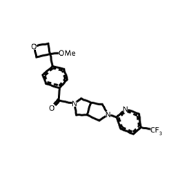 COC1(c2ccc(C(=O)N3CC4CN(c5ccc(C(F)(F)F)cn5)CC4C3)cc2)COC1